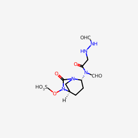 O=CNNCC(=O)N(C=O)[C@@H]1CC[C@@H]2CN1C(=O)N2OS(=O)(=O)O